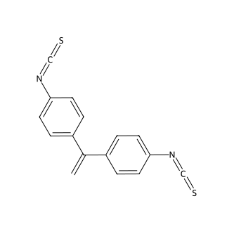 C=C(c1ccc(N=C=S)cc1)c1ccc(N=C=S)cc1